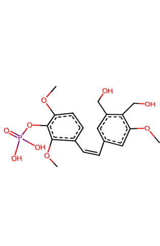 COc1cc(/C=C\c2ccc(OC)c(OP(=O)(O)O)c2OC)cc(CO)c1CO